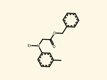 CCN(CC(=O)OCc1ccccc1)c1cccc(C)c1